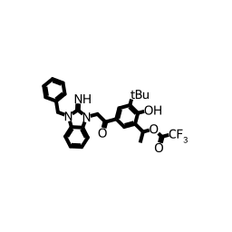 CC(OC(=O)C(F)(F)F)c1cc(C(=O)Cn2c(=N)n(Cc3ccccc3)c3ccccc32)cc(C(C)(C)C)c1O